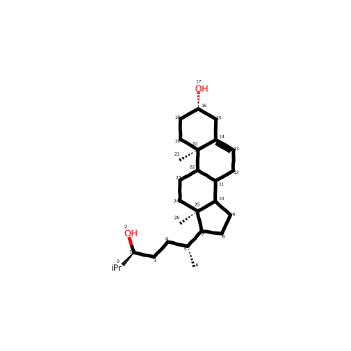 CC(C)[C@@H](O)CC[C@@H](C)C1CCC2C3CC=C4C[C@@H](O)CC[C@]4(C)C3CC[C@@]21C